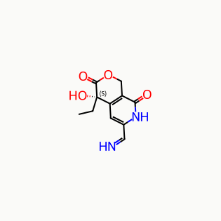 CC[C@@]1(O)C(=O)OCc2c1cc(C=N)[nH]c2=O